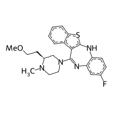 COCC[C@H]1CN(C2=Nc3cc(F)ccc3Nc3sc4ccccc4c32)CCN1C